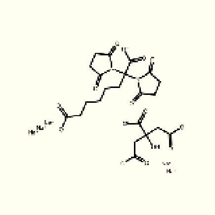 O=C([O-])CC(O)(CC(=O)[O-])C(=O)[O-].O=C([O-])CCCCCC(C(=O)[O-])(N1C(=O)CCC1=O)N1C(=O)CCC1=O.[Na+].[Na+].[Na+].[Na+].[Na+]